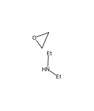 C1CO1.CCNCC